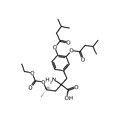 CCOC(=O)O[C@@H](C)CC(N)(Cc1ccc(OC(=O)CC(C)C)c(OC(=O)CC(C)C)c1)C(=O)O